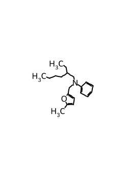 CCCCC(CC)CN(Cc1ccc(C)o1)c1ccccc1